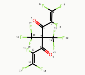 O=C(C(F)=C(F)F)C(C(=O)C(F)=C(F)F)(C(F)(F)F)C(F)(F)F